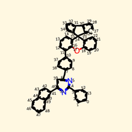 c1ccc(-c2nc(-c3ccc(-c4cccc5c4Oc4ccccc4C54c5ccccc5-c5ccccc54)cc3)cc(-c3ccc4ccccc4c3)n2)cc1